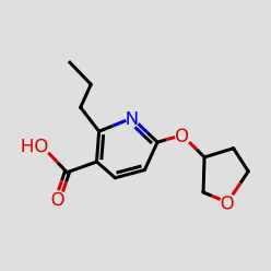 CCCc1nc(OC2CCOC2)ccc1C(=O)O